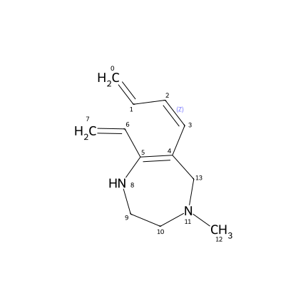 C=C/C=C\C1=C(C=C)NCCN(C)C1